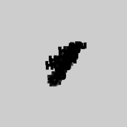 CCCCC(=O)Nc1ncnn2c([C@]3(C)O[C@H](COC(=O)CC4CCCCC4)[C@@H](O)[C@H]3O)ccc12